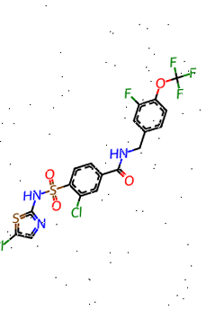 O=C(NCc1ccc(OC(F)(F)F)c(F)c1)c1ccc(S(=O)(=O)Nc2ncc(Cl)s2)c(Cl)c1